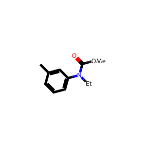 CCN(C(=O)OC)c1cccc(C)c1